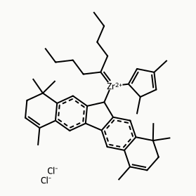 CCCC[C](CCCC)=[Zr+2]([C]1=CC(C)=CC1C)[CH]1c2cc3c(cc2-c2cc4c(cc21)C(C)(C)CC=C4C)C(C)=CCC3(C)C.[Cl-].[Cl-]